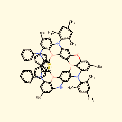 Cc1cc(C)c(N2c3cc4c(cc3B3c5cc6c(cc5Oc5cc(C(C)(C)C)cc2c53)N(c2c(C)cc(C)cc2C)c2cc(C(C)(C)C)cc3c2B6c2sc5ccccc5c2N3c2ccccc2)B2c3sc5ccccc5c3N(c3ccccc3)c3cc(C(C)(C)C)cc(c32)N4)c(C)c1